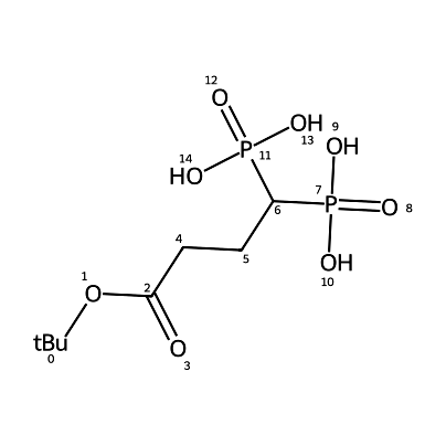 CC(C)(C)OC(=O)CCC(P(=O)(O)O)P(=O)(O)O